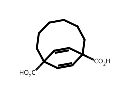 O=C(O)C12C=CC(C(=O)O)(C=C1)CCCCCC2